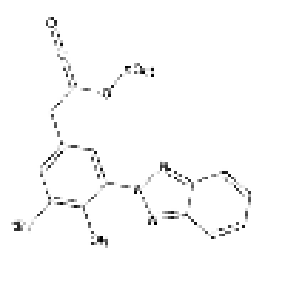 CCCCCCCCOC(=C=O)Cc1cc(-n2nc3ccccc3n2)c(O)c(C(C)(C)C)c1